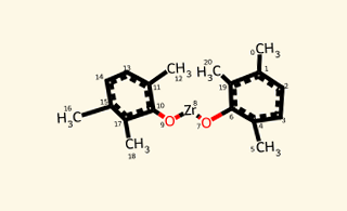 Cc1ccc(C)c([O][Zr][O]c2c(C)ccc(C)c2C)c1C